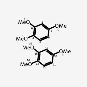 COc1ccc(OC)c(OC)c1.COc1ccc(OC)c(OC)c1